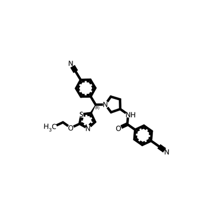 CCOc1ncc([C@@H](c2ccc(C#N)cc2)N2CCC(NC(=O)c3ccc(C#N)cc3)C2)s1